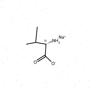 CC(C)[C@H](N)C(=O)[O-].[Na+]